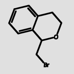 BrCC1OCCc2ccccc21